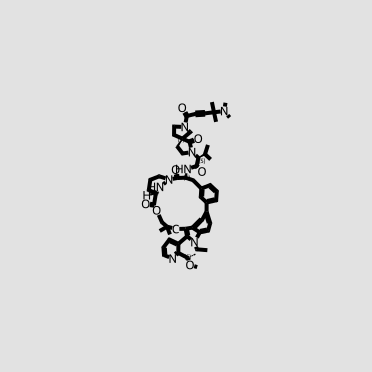 CCn1c(-c2cccnc2[C@H](C)OC)c2c3cc(ccc31)-c1cccc(c1)C[C@H](NC(=O)[C@H](C(C)C)N1CC[C@]3(CCN(C(=O)C#CC(C)(C)N(C)C)C3)C1=O)C(=O)N1CCC[C@H](N1)C(=O)OCC(C)(C)C2